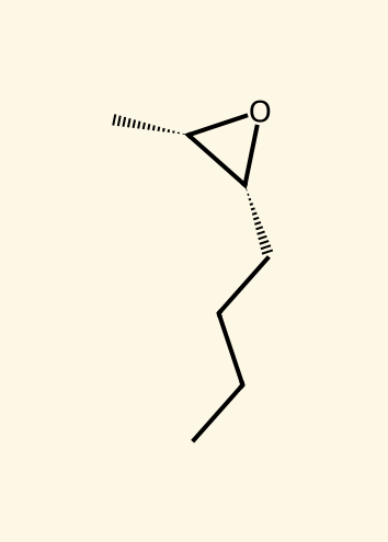 CCCC[C@H]1O[C@H]1C